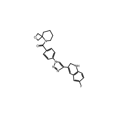 O=C(c1ccc(-n2cc(C3=Cc4cc(F)ccc4NC3)nn2)cc1)N1CCCCC12COC2